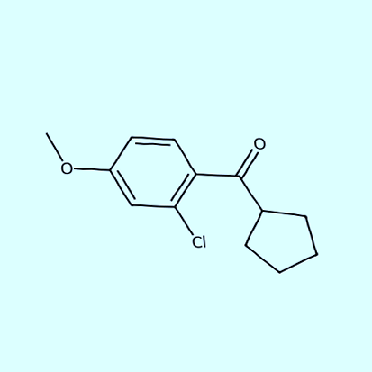 COc1ccc(C(=O)C2CCCC2)c(Cl)c1